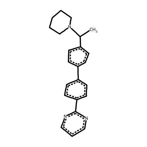 CC(c1ccc(-c2ccc(-c3ncccn3)cc2)cc1)N1CCCCC1